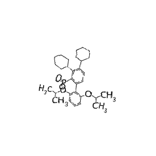 CC(C)Oc1cccc(OC(C)C)c1-c1ccc(C2CCCCC2)c(C2CCCCC2)c1P(=O)=O